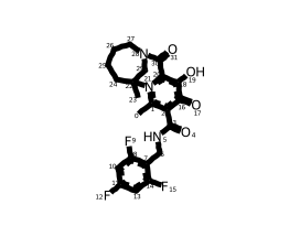 Cc1c(C(=O)NCc2c(F)cc(F)cc2F)c(=O)c(O)c2n1C1(C)CCCCN(C1)C2=O